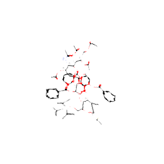 CCS[C@@H]1OC(CO[Si](C(C)C)(C(C)C)C(C)C)[C@@H](O[C@@H]2OC(COC(=O)c3ccccc3)[C@H](OC(=O)c3ccccc3)[C@H](O[C@]3(C(=O)OC)C[C@@H](OC(C)=O)[C@@H](NC(C)=O)C([C@H](OC(C)=O)[C@@H](COC(C)=O)OC(C)=O)O3)C2OC(=O)c2ccccc2)[C@H](OC(=O)c2ccccc2)C1C